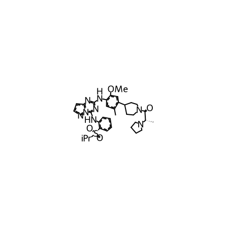 COc1cc(C2CCN(C(=O)[C@H](C)N3CCCC3)CC2)c(C)cc1Nc1nc(Nc2ccccc2S(=O)(=O)C(C)C)n2nccc2n1